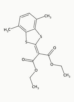 CCOC(=O)C(C(=O)OCC)=C1Sc2c(C)ccc(C)c2S1